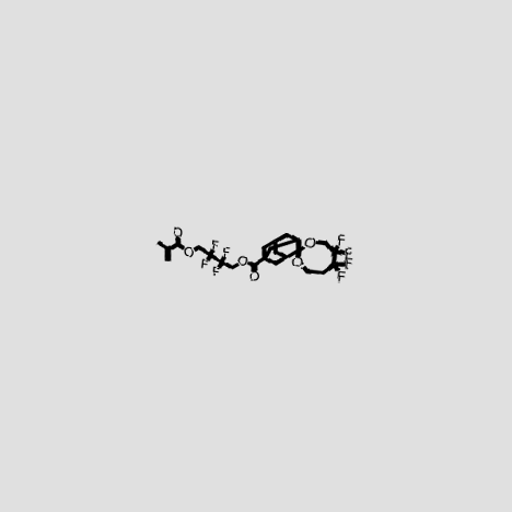 C=C(C)C(=O)OCC(F)(F)C(F)(F)COC(=O)C12CC3CC(C1)C1(OCCC(F)(F)C(F)(F)CO1)C(C3)C2